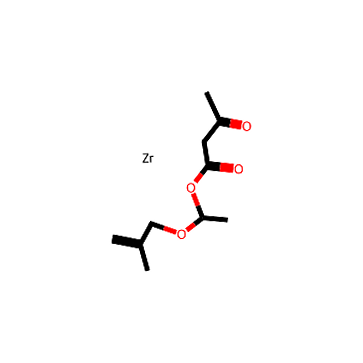 C=C(C)COC(C)OC(=O)CC(C)=O.[Zr]